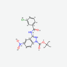 CC(C)(C)OC(=O)n1nc(NC(=O)c2cccc(Cl)c2)c2cc([N+](=O)[O-])ccc21